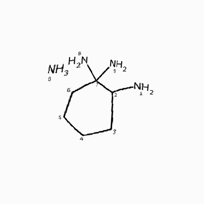 N.NC1CCCCC1(N)N